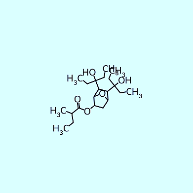 CCC(C)C(=O)OC1CC2OC1C(C(O)(CC)CC)C2C(O)(CC)CC